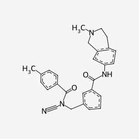 Cc1ccc(C(=O)N(C#N)Cc2cccc(C(=O)Nc3ccc4c(c3)CN(C)CC4)c2)cc1